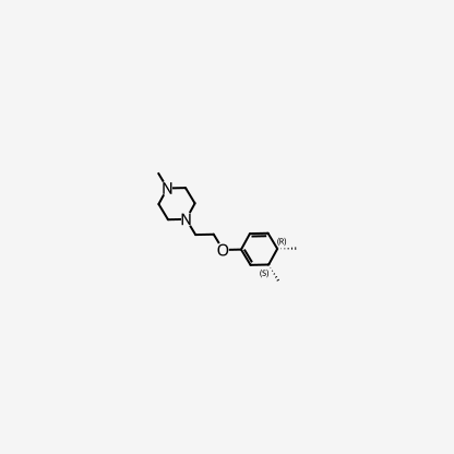 C[C@@H]1C=C(OCCN2CCN(C)CC2)C=C[C@@H]1C